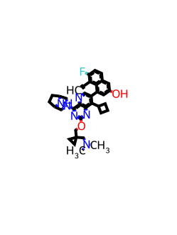 C#Cc1c(F)ccc2cc(O)cc(-c3cnc4c(N5CC6CCC(C5)N6)nc(OCC5(CN(C)C)CC5)nc4c3C3CCC3)c12